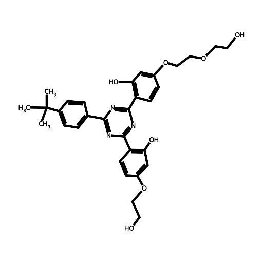 CC(C)(C)c1ccc(-c2nc(-c3ccc(OCCO)cc3O)nc(-c3ccc(OCCOCCO)cc3O)n2)cc1